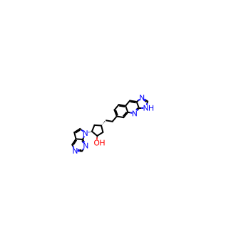 O[C@@H]1C[C@@H](CCc2ccc3cc4nc[nH]c4nc3c2)C[C@H]1n1ccc2cncnc21